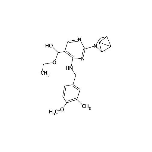 CCOC(O)c1cnc(N2CC3C4C3C42)nc1NCc1ccc(OC)c(C)c1